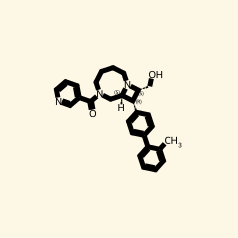 Cc1ccccc1-c1ccc([C@H]2[C@@H](CO)N3CCCCN(C(=O)c4cccnc4)C[C@H]23)cc1